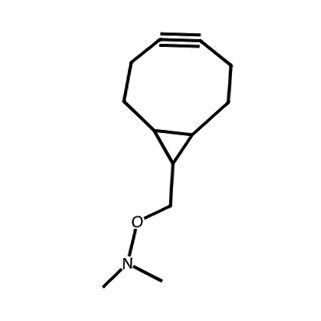 CN(C)OCC1C2CCC#CCCC21